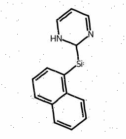 [c]1cccc2cccc([Si]C3N=CC=CN3)c12